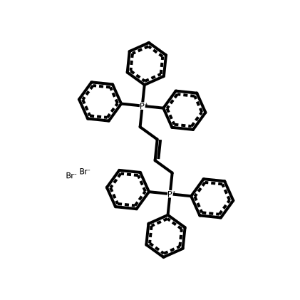 C(=CC[P+](c1ccccc1)(c1ccccc1)c1ccccc1)C[P+](c1ccccc1)(c1ccccc1)c1ccccc1.[Br-].[Br-]